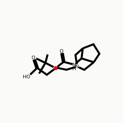 CC(C)(C)OC(=O)NC1C2CCC1CN(CCCC(=O)O)C2